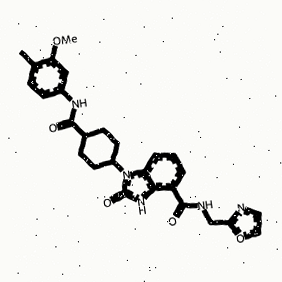 COc1cc(NC(=O)C2CCC(n3c(=O)[nH]c4c(C(=O)NCc5ncco5)cccc43)CC2)ccc1C